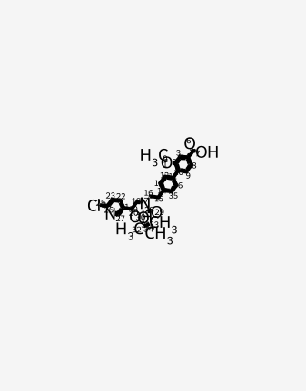 COc1cc(C(=O)O)ccc1-c1ccc(CCN(C[C@H](O)c2ccc(Cl)nc2)C(=O)OC(C)(C)C)cc1